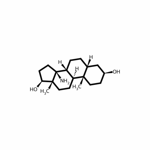 C[C@]12CC[C@H](O)C[C@H]1CC[C@@H]1[C@@H]2CC[C@]2(C)[C@@H](O)CC[C@]12N